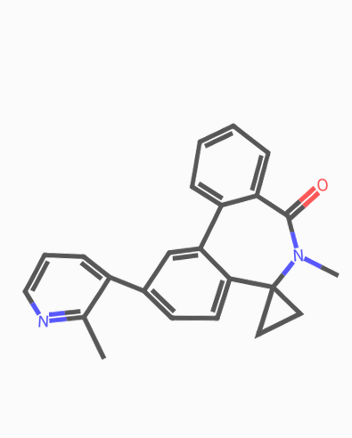 Cc1ncccc1-c1ccc2c(c1)-c1ccccc1C(=O)N(C)C21CC1